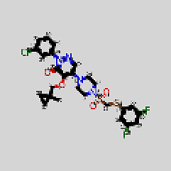 CC1(COc2c(N3CCN(S(=O)(=O)CSc4cc(F)cc(F)c4)CC3)cnn(-c3cccc(Cl)c3)c2=O)CC1